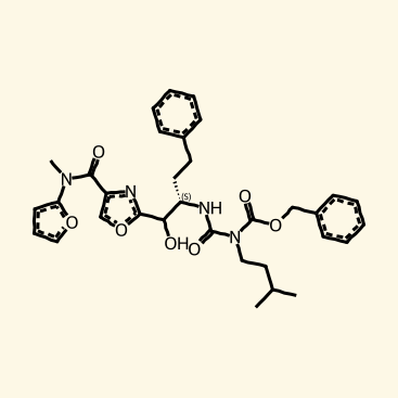 CC(C)CCN(C(=O)N[C@@H](CCc1ccccc1)C(O)c1nc(C(=O)N(C)c2ccco2)co1)C(=O)OCc1ccccc1